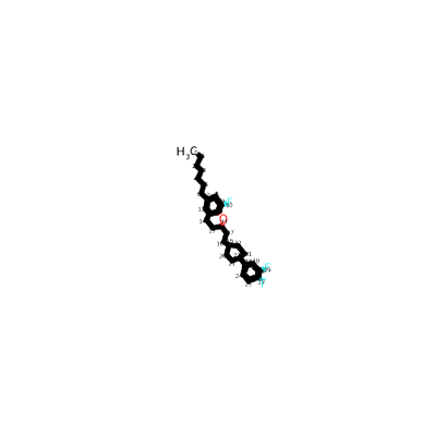 CCCCCCCc1cc(F)c2c(c1)CCC(CCC1CCC(c3ccc(F)c(F)c3)CC1)O2